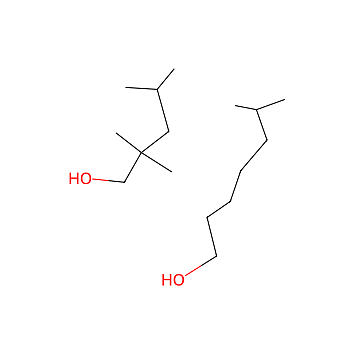 CC(C)CC(C)(C)CO.CC(C)CCCCCO